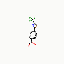 O=CC(=O)c1ccc(-c2nc(C(F)(F)F)cs2)cc1